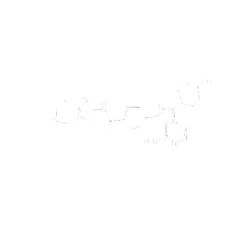 CN1CCc2nc(NC(=O)c3ccc(-c4nc(C5CCC(O)CC5)n5ccnc(N)c45)cc3)sc2C1